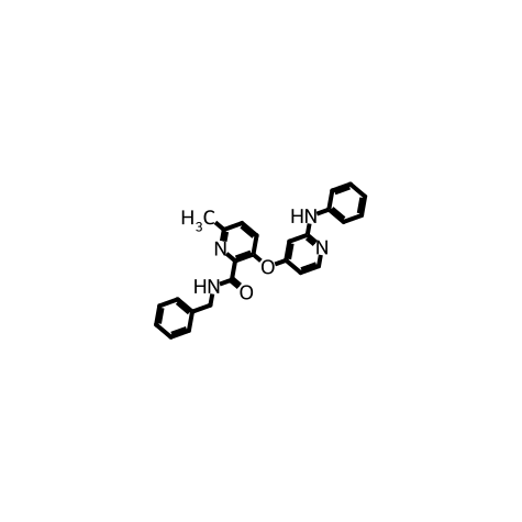 Cc1ccc(Oc2ccnc(Nc3ccccc3)c2)c(C(=O)NCc2ccccc2)n1